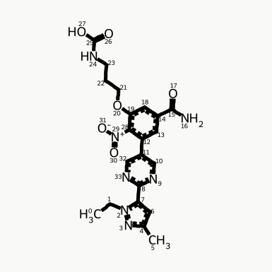 CCn1nc(C)cc1-c1ncc(-c2cc(C(N)=O)cc(OCCCNC(=O)O)c2[N+](=O)[O-])cn1